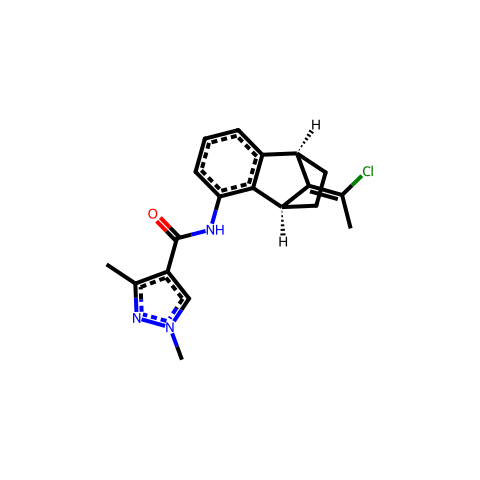 C/C(Cl)=C1\[C@H]2CC[C@@H]1c1cccc(NC(=O)c3cn(C)nc3C)c12